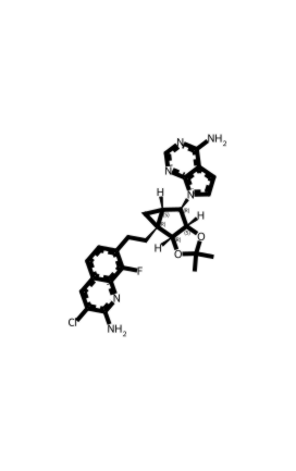 CC1(C)O[C@H]2[C@H](n3ccc4c(N)ncnc43)[C@H]3C[C@@]3(CCc3ccc4cc(Cl)c(N)nc4c3F)[C@H]2O1